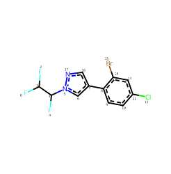 FC(F)C(F)n1cc(-c2ccc(Cl)cc2Br)cn1